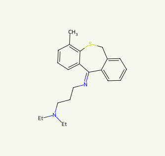 CCN(CC)CCCN=C1c2ccccc2CSc2c(C)cccc21